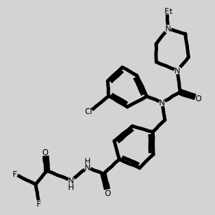 CCN1CCN(C(=O)N(Cc2ccc(C(=O)NNC(=O)C(F)F)cc2)c2cccc(Cl)c2)CC1